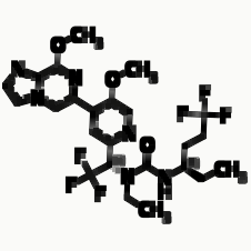 CC[C@H](CCC(F)(F)F)NC(=O)N(CC)[C@@H](c1cc(-c2cn3ccnc3c(OC)n2)c(OC)cn1)C(F)(F)F